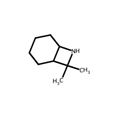 CC1(C)NC2CCCCC21